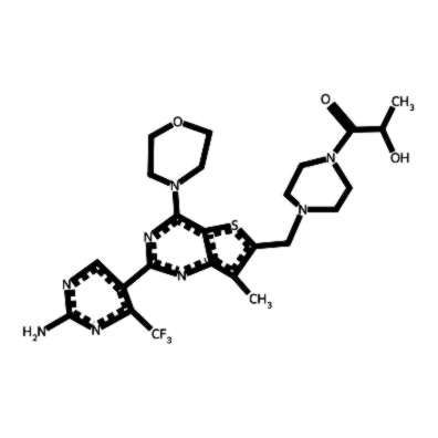 Cc1c(CN2CCN(C(=O)C(C)O)CC2)sc2c(N3CCOCC3)nc(-c3cnc(N)nc3C(F)(F)F)nc12